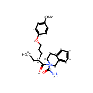 COc1ccc(OCCC[C@H](CC(=O)O)C(=O)[N+]2(C(N)=O)CCc3ccccc3C2)cc1